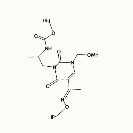 COCn1cc(/C(C)=N/OC(C)C)c(=O)n(CC(C)NC(=O)OC(C)(C)C)c1=O